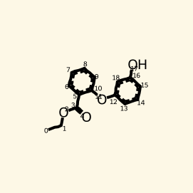 CCOC(=O)c1ccccc1Oc1cccc(O)c1